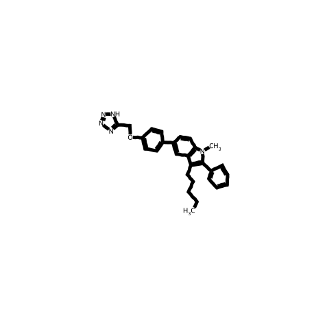 CCCCCc1c(-c2ccccc2)n(C)c2ccc(-c3ccc(OCc4nnn[nH]4)cc3)cc12